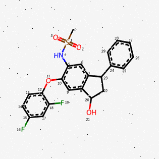 CS(=O)(=O)Nc1cc2c(cc1Oc1ccc(F)cc1F)C(O)CC2c1ccccc1